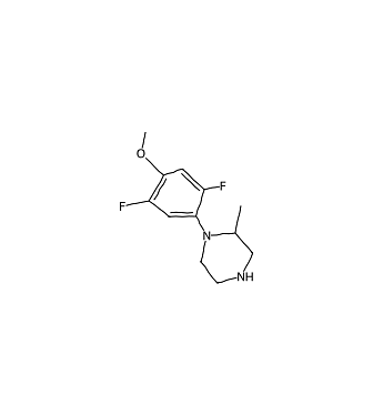 COc1cc(F)c(N2CCNCC2C)cc1F